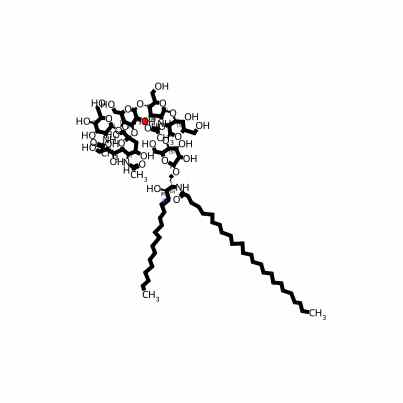 CCCCCCCCCCCCC/C=C/[C@@H](O)[C@H](CO[C@@H]1OC(CO)[C@@H](O[C@@H]2OC(CO)[C@H](O)[C@H](O[C@@H]3OC(CO)[C@@H](O[C@@H]4OC(CO)[C@H](O[C@@H]5OC(CO)[C@H](O)[C@H](O)C5NC(C)=O)[C@H](O[C@]5(C(=O)O)CC(O)[C@@H](NC(C)=O)C([C@H](O)[C@H](O)CO)O5)C4O)[C@H](O)C3NC(C)=O)C2O)[C@H](O)C1O)NC(=O)CCCCCCCCCCCCCCCCCCCCCCCCC